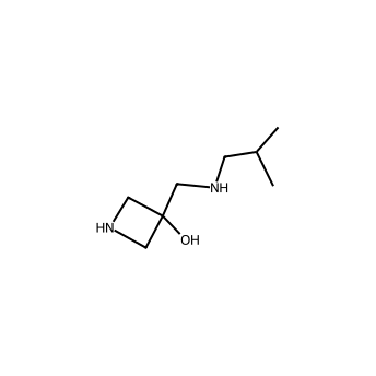 CC(C)CNCC1(O)CNC1